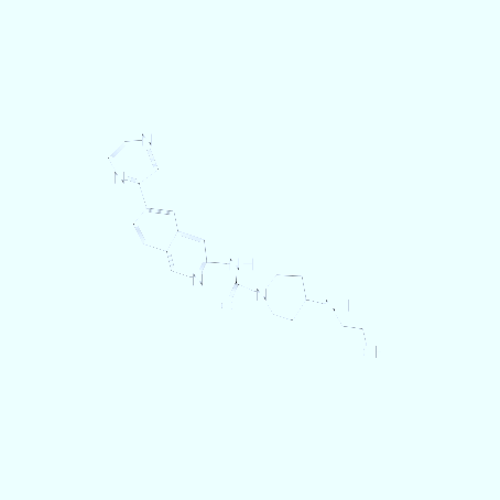 O=C(Nc1cc2cc(-c3cnccn3)ccc2cn1)N1CCC(NCCC(F)(F)F)CC1